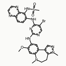 COc1cc2c(cc1Nc1ncc(Br)c(Nc3ccc4nccnc4c3NS(C)(=O)=O)n1)-c1cnn(C)c1CCN2C